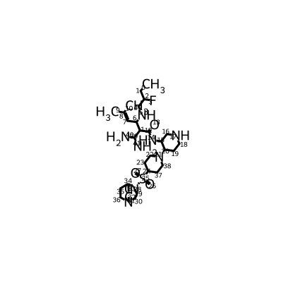 CCC(F)CNC(C=C(C)C)C(C(=O)NC1CNCCC1N1CCC(S(=O)(=O)N2CCN3CCC2CC3)CC1)C(N)N